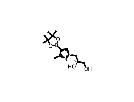 Cc1nn(C[C@H](O)CO)cc1B1OC(C)(C)C(C)(C)O1